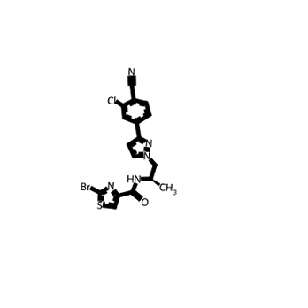 C[C@H](Cn1ccc(-c2ccc(C#N)c(Cl)c2)n1)NC(=O)c1csc(Br)n1